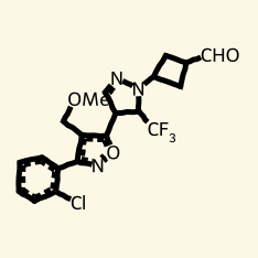 COCc1c(-c2ccccc2Cl)noc1C1C=NN(C2CC(C=O)C2)C1C(F)(F)F